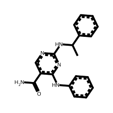 CC(Nc1ncc(C(N)=O)c(Nc2ccccc2)n1)c1ccccc1